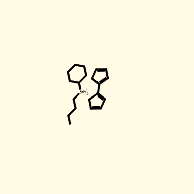 C1=CCC(C2=CC=CC2)=C1.CCCC[SiH2]C1CCCCC1